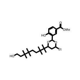 CCC1CC(C(C)(C)C(C)(C)CCC(C)(C)C(C)(C)CCO)OC(c2cc(C(=O)OC)ccc2O)O1